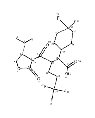 CC(C)[C@H]1COC(=O)N1C(=O)C(CCC(F)(F)F)C(C(=O)O)C1CCC(F)(F)CC1